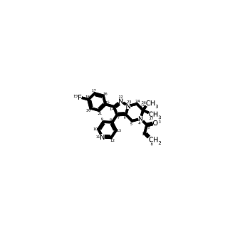 C=CC(=O)N1Cc2c(-c3ccncc3)c(-c3ccc(F)cc3)nn2CC1(C)C